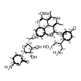 COC(=O)C1=C(C)NC(C)=C(C(=O)OC)C1c1ccccc1[N+](=O)[O-].NCC(CC(=O)O)c1ccc(Cl)cc1.Nc1ccn([C@@H]2O[C@H](CO)[C@@H](O)[C@@H]2O)c(=O)n1